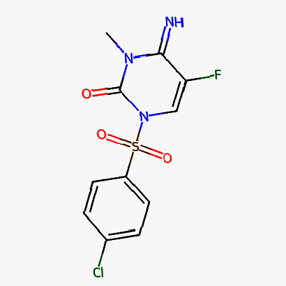 Cn1c(=N)c(F)cn(S(=O)(=O)c2ccc(Cl)cc2)c1=O